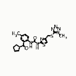 Cc1ccc(NC(=O)Nc2nc(CSc3nnnn3C)cs2)c(C(=O)C2CCCC2)c1